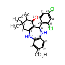 CC(=O)C1C(=O)C2=C(CC1(C)C)Nc1cc(C(=O)O)ccc1NC2c1ccc(Cl)cc1Cl